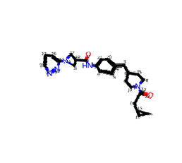 O=C(Nc1ccc(CC2CCN(C(=O)CC3CC3)CC2)cc1)C1CN(c2cccnn2)C1